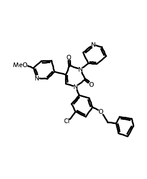 COc1ccc(-c2cn(-c3cc(Cl)cc(OCc4ccccc4)c3)c(=O)n(-c3cccnc3)c2=O)cn1